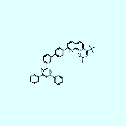 Cc1cc(C(C)(C)C)c2ccc3ccc(-c4ccc(-c5cccc(-c6nc(-c7ccccc7)cc(-c7ccccc7)n6)c5)cc4)nc3c2n1